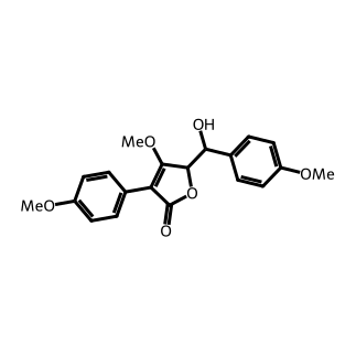 COC1=C(c2ccc(OC)cc2)C(=O)OC1C(O)c1ccc(OC)cc1